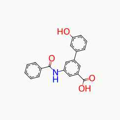 O=C(O)c1cc(NC(=O)c2ccccc2)cc(-c2cccc(O)c2)c1